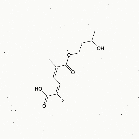 CC(=CC=C(C)C(=O)OCCC(C)O)C(=O)O